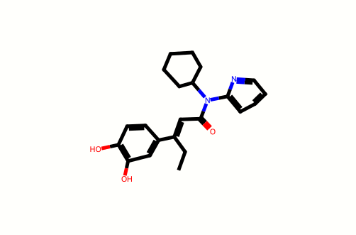 CC/C(=C\C(=O)N(c1ccccn1)C1CCCCC1)c1ccc(O)c(O)c1